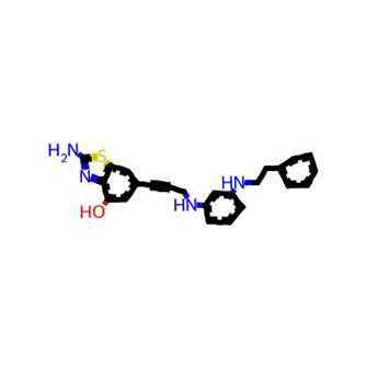 Nc1nc2c(O)cc(C#CCNc3cccc(NCCc4ccccc4)c3)cc2s1